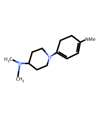 CNC1=CC=C(N2CCC(N(C)C)CC2)CC1